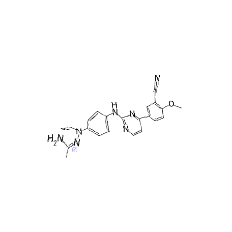 C=CN(/N=C(/C)N)c1ccc(Nc2nccc(-c3ccc(OC)c(C#N)c3)n2)cc1